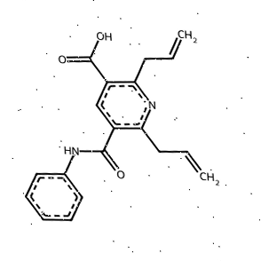 C=CCc1nc(CC=C)c(C(=O)Nc2ccccc2)cc1C(=O)O